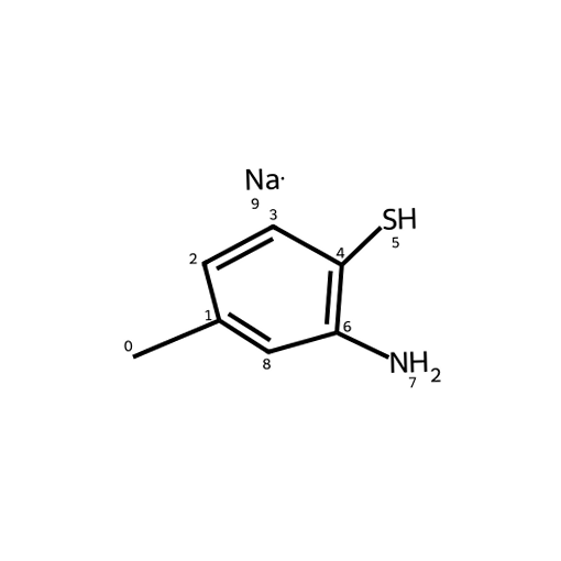 Cc1ccc(S)c(N)c1.[Na]